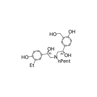 CCCCCN(C[C@H](O)c1ccc(O)c(CC)c1)C[C@H](O)c1ccc(O)c(CO)c1